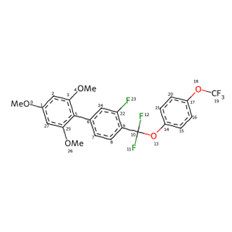 COc1cc(OC)c(-c2ccc(C(F)(F)Oc3ccc(OC(F)(F)F)cc3)c(F)c2)c(OC)c1